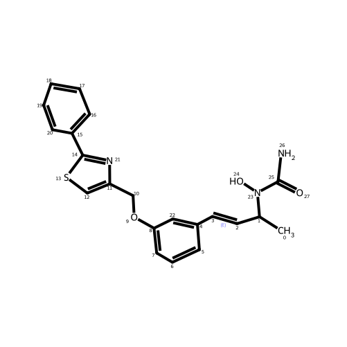 CC(/C=C/c1cccc(OCc2csc(-c3ccccc3)n2)c1)N(O)C(N)=O